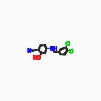 N#Cc1ccc(NCc2ccc(Cl)c(Cl)c2)cc1O